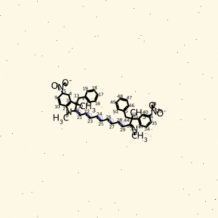 CN1C2=C(CC([N+](=O)[O-])C=C2)C(C)(Cc2ccccc2)\C1=C/C=C/C=C/C=C/C=C/C1=[N+](C)c2ccc([N+](=O)[O-])cc2C1(C)Cc1ccccc1